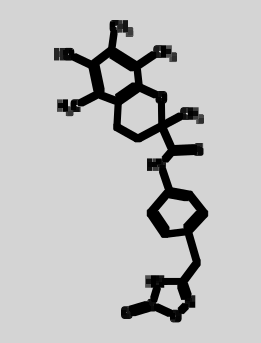 Cc1c(C)c2c(c(C)c1O)CCC(C)(C(=S)Nc1ccc(CC3=NOS(=O)N3)cc1)O2